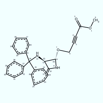 COC(=O)C#CCO[C@@H]1NC(=O)[C@H]1NC(c1ccccc1)(c1ccccc1)c1ccccc1